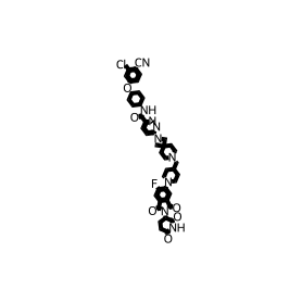 N#Cc1ccc(O[C@H]2CC[C@H](NC(=O)c3ccc(N4CC5(CCN(CC6CCN(c7cc8c(cc7F)C(=O)N(C7CCC(=O)NC7=O)C8=O)CC6)CC5)C4)nn3)CC2)cc1Cl